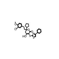 COc1ccc(CCC2(C3CCCC3)CC(O)=C(Sc3nc(-c4ccccc4)cs3)C(=O)O2)cc1Cl